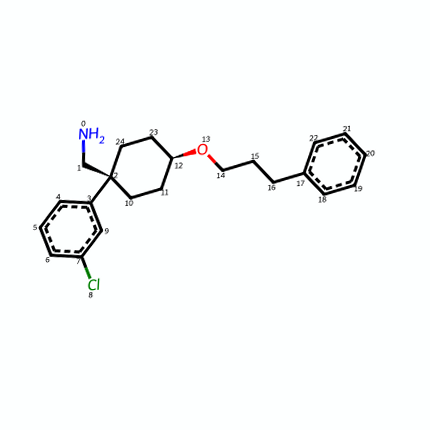 NC[C@]1(c2cccc(Cl)c2)CC[C@H](OCCCc2ccccc2)CC1